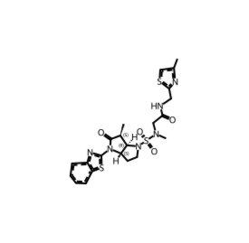 Cc1csc(CNC(=O)CN(C)S(=O)(=O)N2CC[C@H]3[C@H]2[C@H](C)C(=O)N3c2nc3ccccc3s2)n1